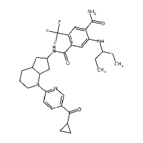 CCC(CC)Nc1cc(C(=O)NC2CC3CCCN(c4ccc(C(=O)C5CC5)cn4)C3C2)c(C(F)(F)F)cc1C(N)=O